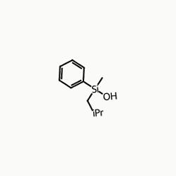 CC(C)C[Si](C)(O)c1ccccc1